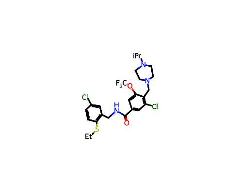 CCSc1ccc(Cl)cc1CNC(=O)c1cc(Cl)c(CN2CCN(C(C)C)CC2)c(OC(F)(F)F)c1